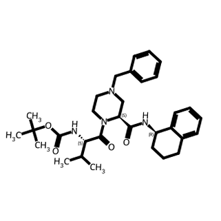 CC(C)[C@H](NC(=O)OC(C)(C)C)C(=O)N1CCN(Cc2ccccc2)C[C@H]1C(=O)N[C@@H]1CCCc2ccccc21